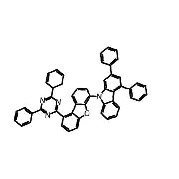 C1=CCC(c2nc(-c3ccccc3)nc(-c3cccc4oc5c(-n6c7ccccc7c7c(-c8ccccc8)cc(-c8ccccc8)cc76)cccc5c34)n2)C=C1